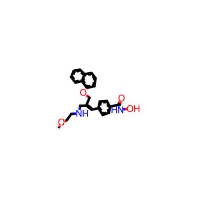 COCCNC/C(=C/c1ccc(C(=O)NO)cc1)COc1cccc2ccccc12